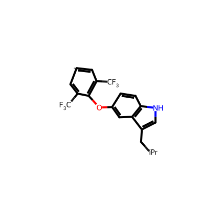 CC(C)Cc1c[nH]c2ccc(Oc3c(C(F)(F)F)c[c]cc3C(F)(F)F)cc12